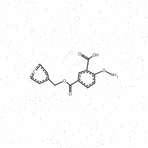 NOc1ccc(C(=O)OCc2ccccc2)cc1C(=O)O